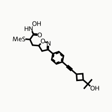 CSC(CC1CC(c2ccc(C#CC3CC(C(C)(C)O)C3)cc2)=NO1)C(=O)NO